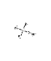 CC(C)[Si]([O-])(C(C)C)C(C)C.[Na+]